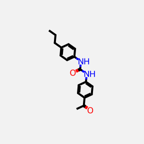 CCCc1ccc(NC(=O)Nc2ccc(C(C)=O)cc2)cc1